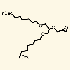 CCCCCCCCCCCCCCCCOCC(COCCCCCCCCCCCCCCCC)OCC1CO1